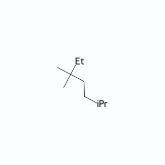 [CH2]CC(C)(C)CCC(C)C